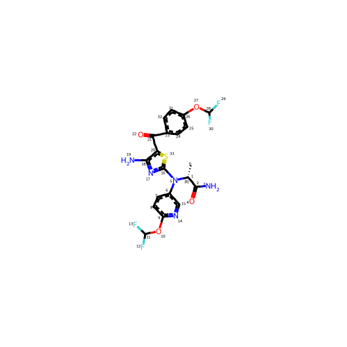 C[C@H](C(N)=O)N(c1ccc(OC(F)F)nc1)c1nc(N)c(C(=O)c2ccc(OC(F)F)cc2)s1